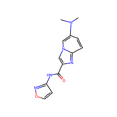 CN(C)c1ccc2nc(C(=O)Nc3ccon3)cn2c1